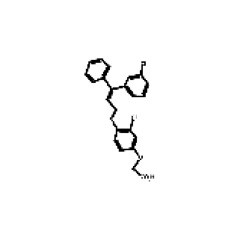 O=C(O)COc1ccc(SCC=C(c2ccccc2)c2cccc(Cl)c2)c(Cl)c1